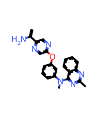 C=C(N)c1cnc(Oc2cccc(N(C)c3nc(C)nc4ccccc34)c2)cn1